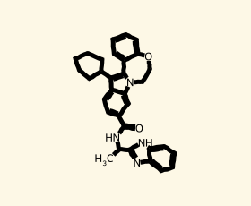 CC(NC(=O)c1ccc2c(C3CCCCC3)c3n(c2c1)CCOc1ccccc1-3)c1nc2ccccc2[nH]1